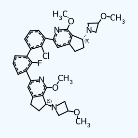 COc1nc(-c2cccc(-c3cccc(-c4cc5c(c(OC)n4)[C@@H](N4CC(OC)C4)CC5)c3F)c2Cl)cc2c1[C@H](N1CC(OC)C1)CC2